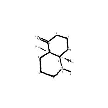 CN1CCC[C@H]2C(=O)CCC[C@H]21